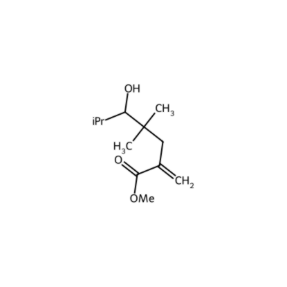 C=C(CC(C)(C)C(O)C(C)C)C(=O)OC